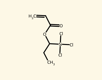 C=CC(=O)OC(CC)[Si](Cl)(Cl)Cl